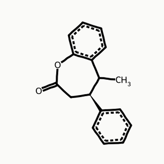 CC1c2ccccc2OC(=O)C[C@@H]1c1ccccc1